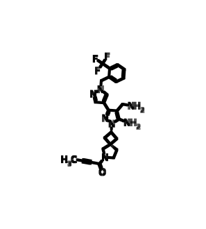 CC#CC(=O)N1CC[C@]2(C1)C[C@H](n1nc(-c3cnn(Cc4ccccc4C(F)(F)F)c3)c(CN)c1N)C2